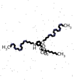 CC/C=C\C/C=C\C/C=C\C/C=C\C/C=C\CCCCNc1ccc(OCCCC/C=C\C/C=C\C/C=C\C/C=C\C/C=C\CC)c(C(=O)OC(C)OC(=O)CCCCCCC)c1